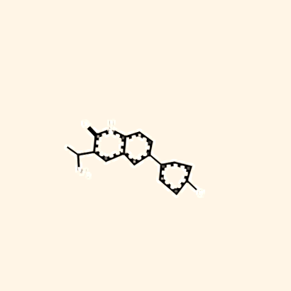 CC(N)c1cc2cc(-c3ccc(Cl)cc3)ccc2[nH]c1=O